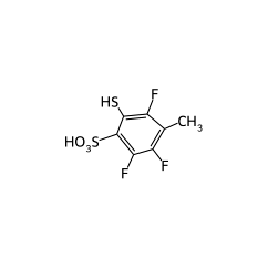 Cc1c(F)c(F)c(S(=O)(=O)O)c(S)c1F